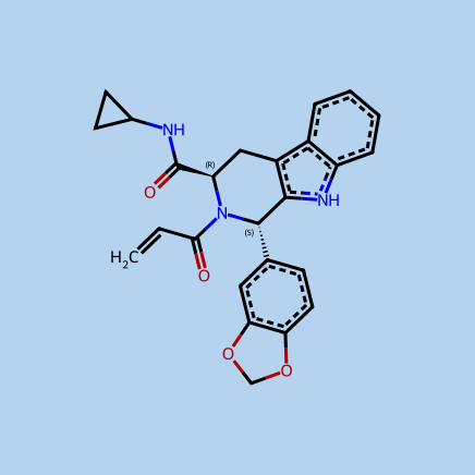 C=CC(=O)N1[C@@H](c2ccc3c(c2)OCO3)c2[nH]c3ccccc3c2C[C@@H]1C(=O)NC1CC1